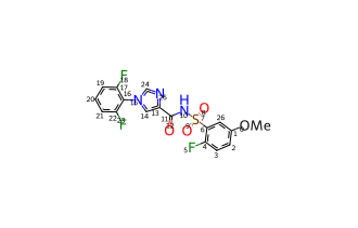 COc1ccc(F)c(S(=O)(=O)NC(=O)c2cn(-c3c(F)cccc3F)cn2)c1